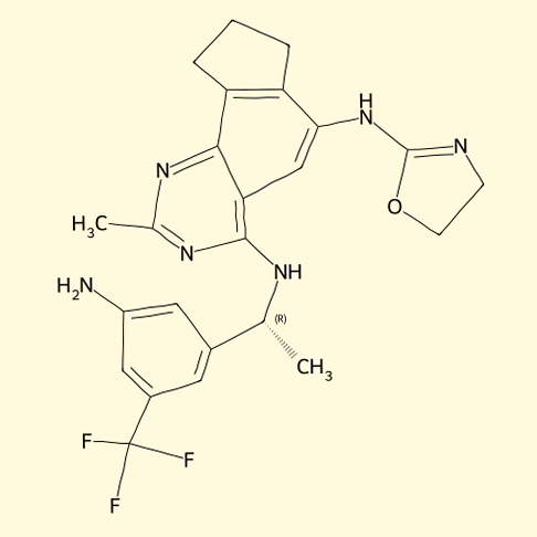 Cc1nc(N[C@H](C)c2cc(N)cc(C(F)(F)F)c2)c2cc(NC3=NCCO3)c3c(c2n1)CCC3